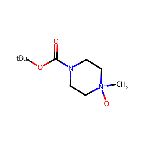 CC(C)(C)OC(=O)N1CC[N+](C)([O-])CC1